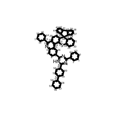 c1ccc(C2=NC(c3ccc4nc(-c5ccccc5)c5ccc6c(c5c4c3)Sc3ccccc3C63c4ccccc4-c4ccccc43)NC(c3ccc(-c4ccccc4)cc3)=N2)cc1